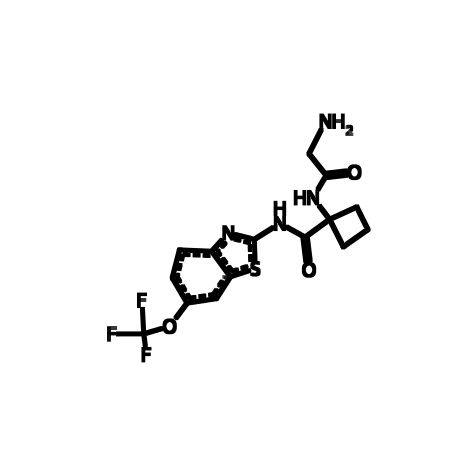 NCC(=O)NC1(C(=O)Nc2nc3ccc(OC(F)(F)F)cc3s2)CCC1